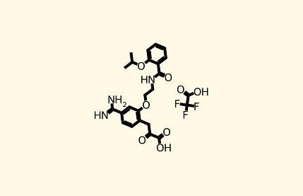 CC(C)Oc1ccccc1C(=O)NCCOc1cc(C(=N)N)ccc1CC(=O)C(=O)O.O=C(O)C(F)(F)F